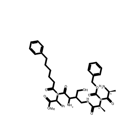 COC(=O)C(C(C)C)N(C(=O)CCCCCc1ccccc1)C(=O)C(N)C(CO)CNC(=O)[C@H](C)N(C(=O)OCc1ccccc1)C(=O)[C@H](C)N